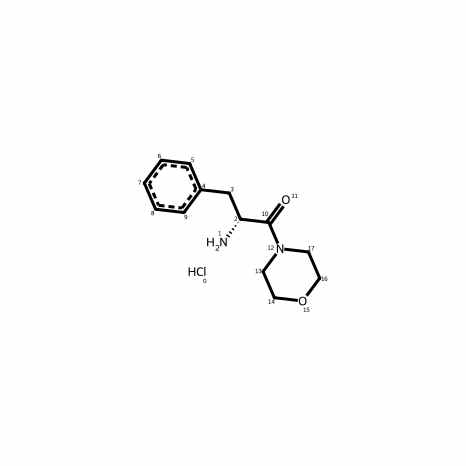 Cl.N[C@H](Cc1ccccc1)C(=O)N1CCOCC1